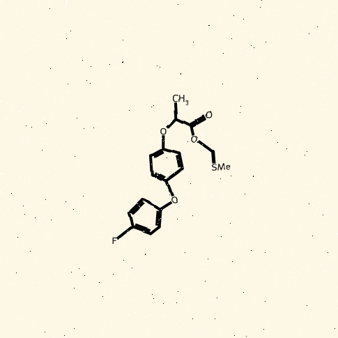 CSCOC(=O)C(C)Oc1ccc(Oc2ccc(F)cc2)cc1